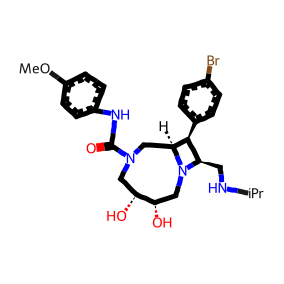 COc1ccc(NC(=O)N2C[C@@H](O)[C@@H](O)CN3[C@H](CNC(C)C)[C@H](c4ccc(Br)cc4)[C@@H]3C2)cc1